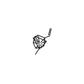 C=C[C]12[CH]3[CH]4[C]5(C)[CH]1[Cr]43521678[CH]2[CH]1[CH]6[CH]7[CH]28